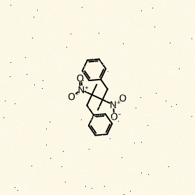 CC(Cc1ccccc1)([N+](=O)[O-])C(C)(Cc1ccccc1)[N+](=O)[O-]